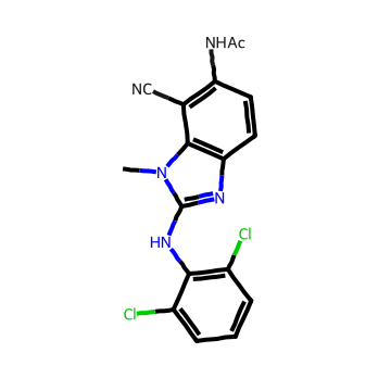 CC(=O)Nc1ccc2nc(Nc3c(Cl)cccc3Cl)n(C)c2c1C#N